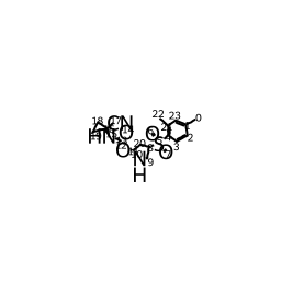 Cc1ccc(S(=O)(=O)[C@H]2CN[C@@H](OC(=O)NC3(C#N)CC3)C2)c(C)c1